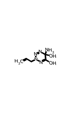 C=CCN1N=NC(N)(O)C(O)=N1